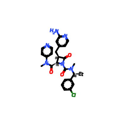 CC[C@H](c1cccc(Cl)c1)N(C)C(=O)N1C(=O)[C@H](Cc2ccnc(N)c2)[C@H]1C(=O)N(C)c1ccncc1